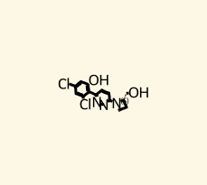 OC[C@@H]1CCN1c1ccc(-c2c(O)cc(Cl)cc2Cl)nn1